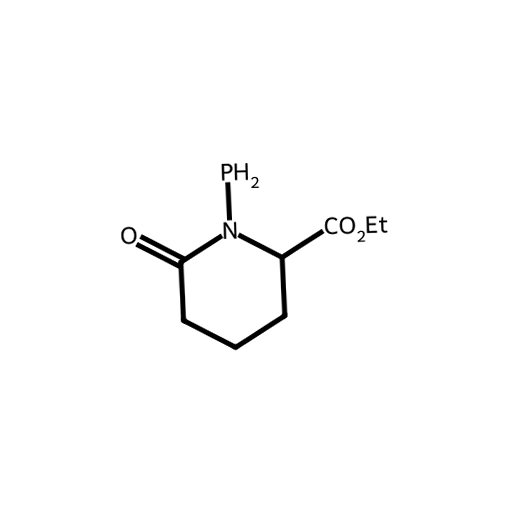 CCOC(=O)C1CCCC(=O)N1P